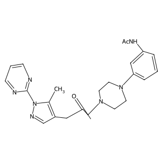 CC(=O)Nc1cccc(N2CCN(CC(=O)Cc3cnn(-c4ncccn4)c3C)CC2)c1